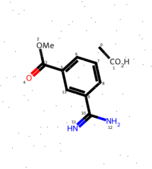 CC(=O)O.COC(=O)c1cccc(C(=N)N)c1